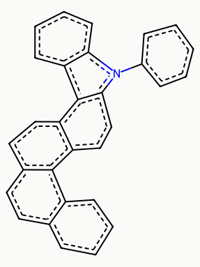 c1ccc(-n2c3ccccc3c3c4ccc5ccc6ccccc6c5c4ccc32)cc1